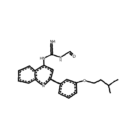 CC(C)CCOc1cccc(-c2cc(NC(=N)NC=O)c3ccccc3n2)c1